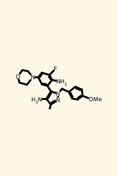 COc1ccc(Cn2nc(C)c(N)c2-c2cc(N3CCOCC3)cc(F)c2N)cc1